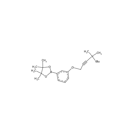 CC1(C)OB(c2cccc(OCC#C[Si](C)(C)C(C)(C)C)c2)OC1(C)C